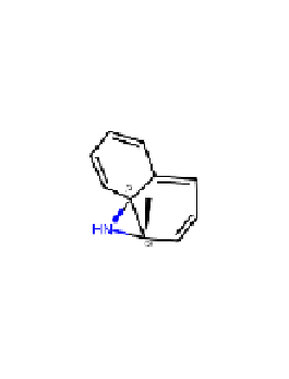 C[C@]12C=CC=C3C=CC=C[C@]31N2